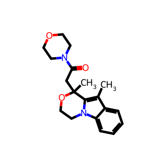 Cc1c2n(c3ccccc13)CCOC2(C)CC(=O)N1CCOCC1